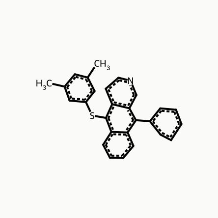 Cc1cc(C)cc(Sc2c3ccccc3c(-c3ccccc3)c3cnccc23)c1